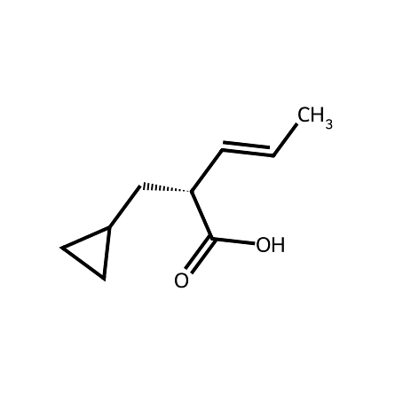 C/C=C/[C@@H](CC1CC1)C(=O)O